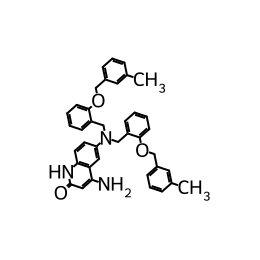 Cc1cccc(COc2ccccc2CN(Cc2ccccc2OCc2cccc(C)c2)c2ccc3[nH]c(=O)cc(N)c3c2)c1